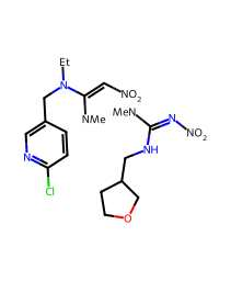 CCN(Cc1ccc(Cl)nc1)/C(=C/[N+](=O)[O-])NC.CN/C(=N/[N+](=O)[O-])NCC1CCOC1